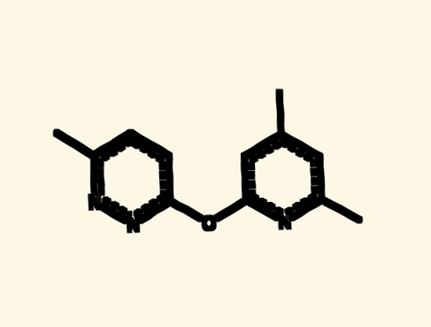 Cc1cc(C)nc(Oc2ccc(C)nn2)c1